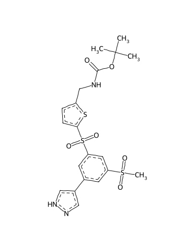 CC(C)(C)OC(=O)NCc1ccc(S(=O)(=O)c2cc(-c3cn[nH]c3)cc(S(C)(=O)=O)c2)s1